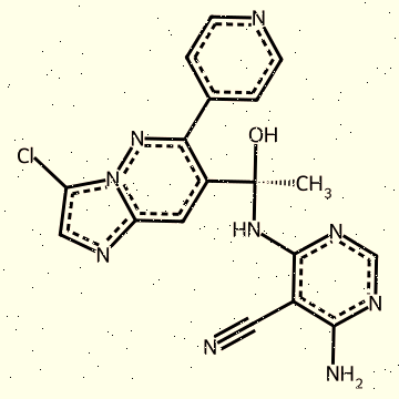 C[C@](O)(Nc1ncnc(N)c1C#N)c1cc2ncc(Cl)n2nc1-c1ccncc1